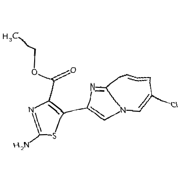 CCOC(=O)c1nc(N)sc1-c1cn2cc(Cl)ccc2n1